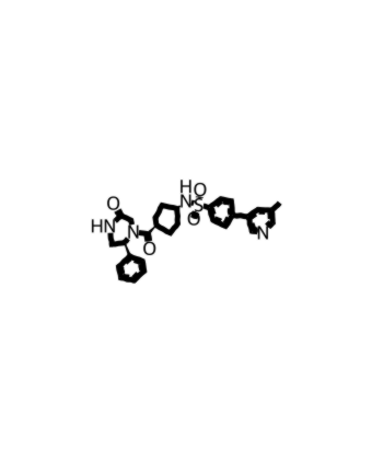 Cc1cncc(-c2ccc(S(=O)(=O)N[C@H]3CC[C@H](C(=O)N4CC(=O)NC[C@@H]4c4ccccc4)CC3)cc2)c1